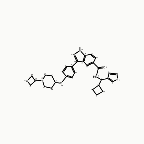 O=C(NC(c1ccsc1)C1CCC1)c1ccc2[nH]nc(-c3ccc(OC4CCN(C5COC5)CC4)cc3)c2c1